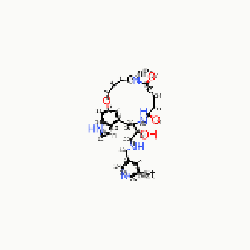 CCCN1CCCCOc2cc(c3cc[nH]c3c2)CC(C(O)CNCc2cncc(CC)c2)NC(=O)CCCC1=O